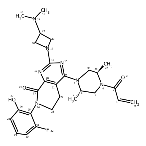 C=CC(=O)N1C[C@H](C)N(c2nc(N3CC(N(C)C)C3)nc3c2CCN(c2c(O)cccc2F)C3=O)C[C@H]1C